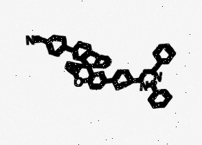 N#Cc1ccc(-c2ccc3c(c2)C2(C4=CCCC=C4Oc4ccc(-c5ccc(C6=NC(c7ccccc7)=NC(c7ccccc7)C6)cc5)cc42)C2C=CC=CC32)cc1